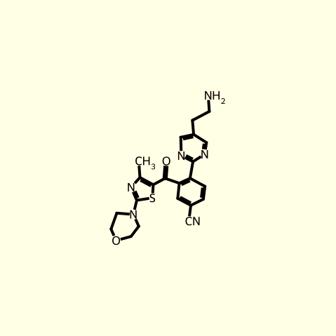 Cc1nc(N2CCOCC2)sc1C(=O)c1cc(C#N)ccc1-c1ncc(CCN)cn1